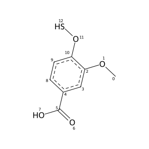 COc1cc(C(=O)O)ccc1OS